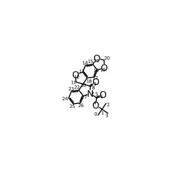 CC(C)(C)OC(=O)N1C(=O)C2(COc3cc4c(cc32)OCO4)c2ccccc21